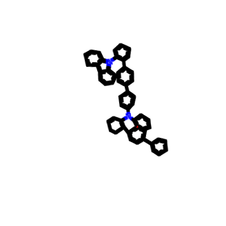 C1=CC(N(c2ccccc2)c2ccc(-c3ccc(-c4ccccc4-n4c5ccccc5c5ccccc54)cc3)cc2)=C(c2ccc(-c3ccccc3)cc2)CC1